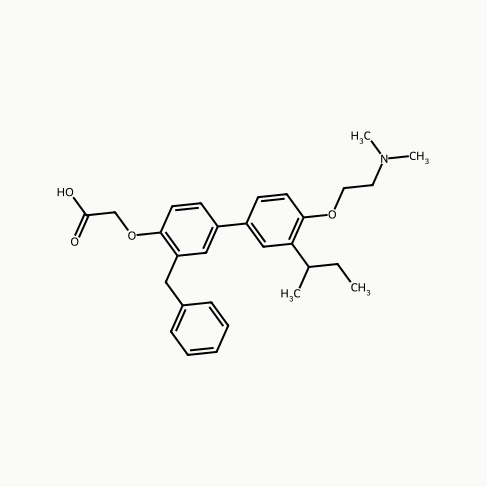 CCC(C)c1cc(-c2ccc(OCC(=O)O)c(Cc3ccccc3)c2)ccc1OCCN(C)C